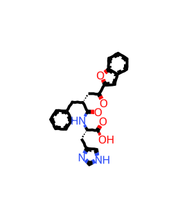 O=C(C[C@@H](Cc1ccccc1)C(=O)N[C@@H](Cc1c[nH]cn1)C(=O)O)c1cc2ccccc2o1